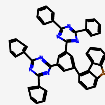 c1ccc(-c2nc(-c3ccccc3)nc(-c3cc(-c4nc(-c5ccccc5)nc(-c5ccccc5)n4)cc(-c4cccc5sc6ccccc6c45)c3)n2)cc1